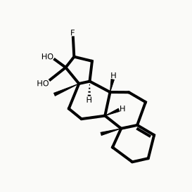 C[C@]12CCCC=C1CC[C@@H]1[C@H]2CC[C@@]2(C)[C@H]1CC(F)C2(O)O